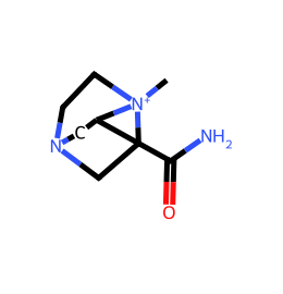 C[N+]12CCN(CC1)CC2C(N)=O